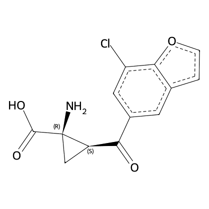 N[C@]1(C(=O)O)C[C@@H]1C(=O)c1cc(Cl)c2occc2c1